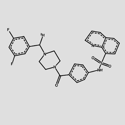 [2H]C(c1cc(F)cc(F)c1)N1CCN(C(=O)c2ccc(NS(=O)(=O)c3cccc4cccnc34)cc2)CC1